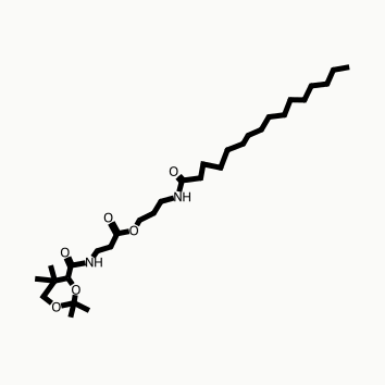 CCCCCCCCCCCCCCCC(=O)NCCCOC(=O)CCNC(=O)C1OC(C)(C)OCC1(C)C